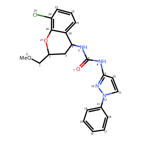 COCC1CC(NC(=O)Nc2ccn(-c3ccccc3)n2)c2cccc(Cl)c2O1